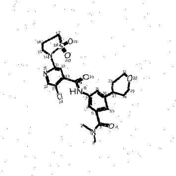 CN(C)C(=O)c1cc(NC(=O)c2cc(N3CCCS3(=O)=O)ncc2Cl)cc(C2CCOCC2)c1